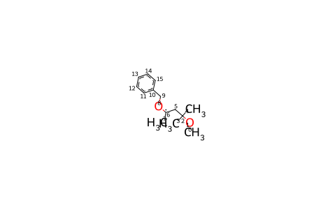 COC(C)(C)C[C](C)OCc1ccccc1